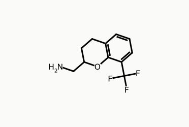 NCC1CCc2cccc(C(F)(F)F)c2O1